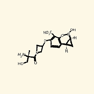 C[C@](N)(CO)C(=O)N1CC(Oc2ccc3c(c2C(=O)O)OB(O)[C@H]2C[C@@H]32)C1